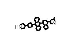 Cc1cncc(-c2ccc(-c3c4ccccc4c(-c4ccc(C5=CCNC=C5)cc4)c4ccccc34)c3ccccc23)c1